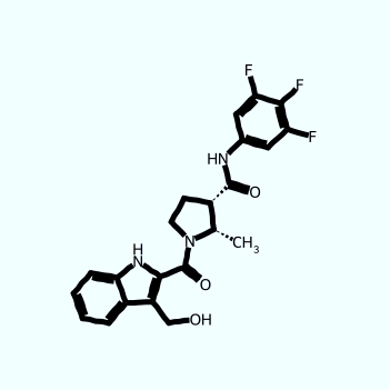 C[C@H]1[C@@H](C(=O)Nc2cc(F)c(F)c(F)c2)CCN1C(=O)c1[nH]c2ccccc2c1CO